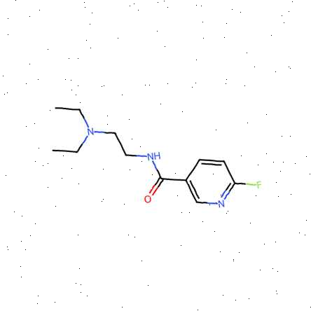 CCN(CC)CCNC(=O)c1ccc(F)nc1